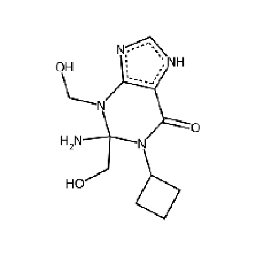 NC1(CO)N(CO)c2nc[nH]c2C(=O)N1C1CCC1